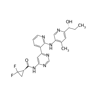 CC[C@@H](O)c1cc(C)c(Nc2ncccc2-c2cc(NC(=O)[C@H]3CC3(F)F)ncn2)cn1